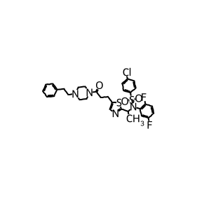 CC(c1ncc(CCC(=O)N2CCN(CCc3ccccc3)CC2)s1)N(c1cc(F)ccc1F)S(=O)(=O)c1ccc(Cl)cc1